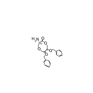 N[C@H]1COC[C@H](OCc2ccccc2)[C@@H](OCc2ccccc2)COC1=O